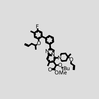 C=CCOC1(C)CCN(c2c(C(OC(C)(C)C)C(=O)OC)c(C)cc3nc(-c4cccc(-c5cc(F)c(C)cc5OC(C)CC=C)c4)cn23)CC1